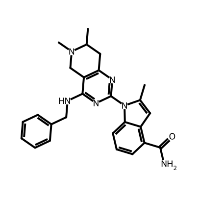 Cc1cc2c(C(N)=O)cccc2n1-c1nc2c(c(NCc3ccccc3)n1)CN(C)C(C)C2